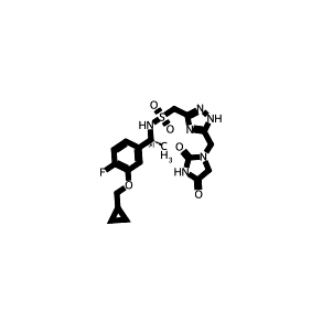 C[C@@H](NS(=O)(=O)Cc1n[nH]c(CN2CC(=O)NC2=O)n1)c1ccc(F)c(OCC2CC2)c1